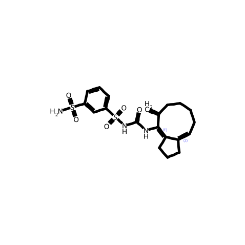 C=C1CCCC/C=C2/CCC/C2=C/1NC(=O)NS(=O)(=O)c1cccc(S(N)(=O)=O)c1